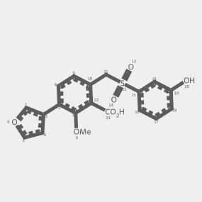 COc1c(-c2ccoc2)ccc(CS(=O)(=O)c2cccc(O)c2)c1C(=O)O